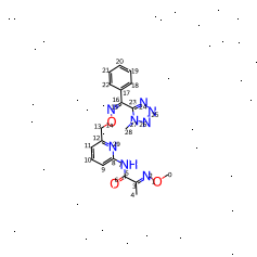 CON=C(C)C(=O)Nc1cccc(CO/N=C(/c2ccccc2)c2nnnn2C)n1